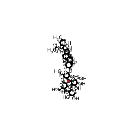 CC(=O)O[C@H]1C[C@@H](C)CN[C@@]12O[C@H]1C[C@H]3[C@@H]4CC[C@H]5C[C@@H](O[C@@H]6O[C@H](CO)[C@H](O[C@@H]7O[C@H](CO)[C@@H](O)[C@H](O[C@@H]8OC[C@@H](O)[C@H](O)[C@H]8O)[C@H]7O[C@@H]7O[C@H](CO)[C@@H](O)[C@H](O)[C@H]7O)[C@H](O)[C@H]6O)CC[C@]5(C)[C@H]4CC[C@]3(C)[C@H]1[C@@H]2C